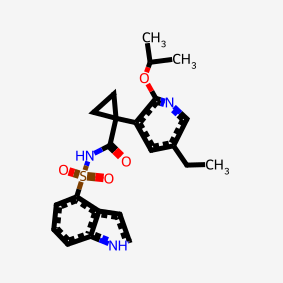 CCc1cnc(OC(C)C)c(C2(C(=O)NS(=O)(=O)c3cccc4[nH]ccc34)CC2)c1